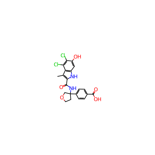 Cc1c(C(=O)NC2(c3ccc(C(=O)O)cc3)CCOC2)[nH]c2cc(O)c(Cl)c(Cl)c12